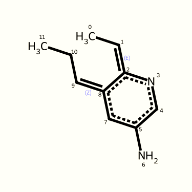 C/C=c1/ncc(N)c/c1=C/CC